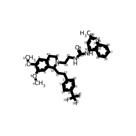 COc1cc2c(cc1OC)C(CCc1ccc(C(F)(F)F)cc1)N(CCNC(=O)Nc1cc(C)nc3ccccc13)CC2